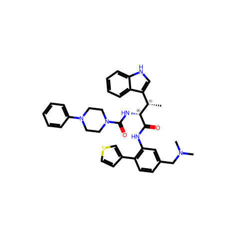 C[C@@H](c1c[nH]c2ccccc12)[C@@H](NC(=O)N1CCN(c2ccccc2)CC1)C(=O)Nc1cc(CN(C)C)ccc1-c1ccsc1